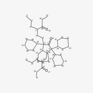 CCCC(CCC(C(=O)C(CCC(CCC)C(=O)CC)(C1CCCCC1)C1CCCCC1)(C1CCCCC1)C1CCCCC1)C(=O)CC